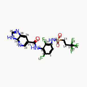 O=C(Nc1c(F)ccc(NS(=O)(=O)CCC(F)(F)F)c1F)c1cnc2[nH]cnc2c1